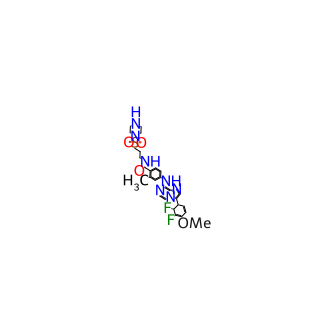 COC1=C(F)C(F)C(c2cnc3c(Nc4ccc(C(=O)NCCCS(=O)(=O)N5CCNCC5)c(C)c4)nccn23)C=C1